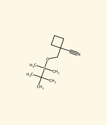 CC(C)(C)[Si](C)(C)OCC1(C#N)CCC1